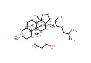 CC(C)CCCC(C)[C@H]1CC[C@H]2[C@@H]3CC=C4C[C@@H](O)CC[C@]4(C)[C@H]3CC[C@]12C.NCCO